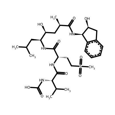 CC(C)C[C@H](NC(=O)[C@H](CCS(C)(=O)=O)NC(=O)[C@@H](NC(=O)O)C(C)C)[C@@H](O)C[C@@H](C)C(=O)N[C@@H]1c2ccccc2C[C@@H]1O